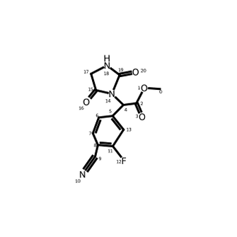 COC(=O)C(c1ccc(C#N)c(F)c1)N1C(=O)CNC1=O